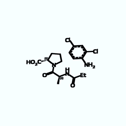 CCC(=O)N[C@@H](C)C(=O)N1CCC[C@H]1C(=O)O.Nc1ccc(Cl)cc1Cl